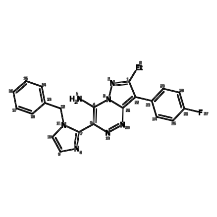 CCc1nn2c(N)c(-c3nccn3Cc3ccccc3)nnc2c1-c1ccc(F)cc1